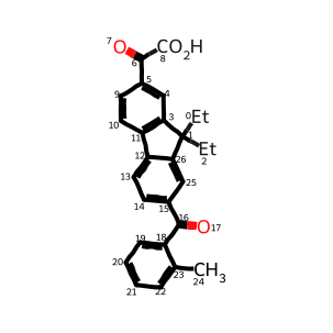 CCC1(CC)c2cc(C(=O)C(=O)O)ccc2-c2ccc(C(=O)c3ccccc3C)cc21